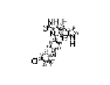 NC(=O)c1cc(N[C@H]2CCNC2=O)nc(-c2ccc(Oc3ccc(Cl)cc3F)cc2)n1